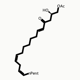 CCCCC/C=C\C/C=C\CCCCC/C=C/C(=O)C[C@@H](O)COC(C)=O